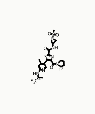 Cc1cc(N[C@@H](C)C(F)(F)F)ncc1-c1sc(C(=O)NC2CN(S(C)(=O)=O)C2)nc1C(=O)N1CCC[C@@H]1C